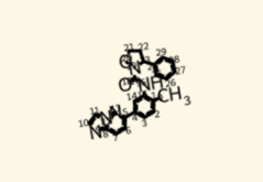 Cc1ccc(-c2ccc3nccn3n2)cc1NC(=O)N1OCCC1c1ccccc1